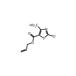 C=CCOC(=O)c1sc(Cl)nc1C(=O)O